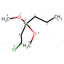 CCC[Si](CCCl)(OC)OC